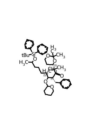 CC(CCC[C@H](C)C(OC1CCCCO1)[C@@H](Cc1ccccc1)C(=O)C(C)(C)[C@@H]1CCOC(C)(C)O1)O[Si](c1ccccc1)(c1ccccc1)C(C)(C)C